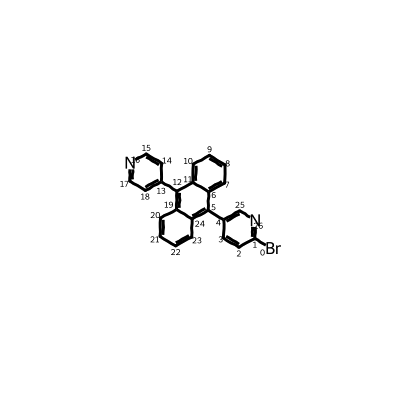 Brc1ccc(-c2c3ccccc3c(-c3ccncc3)c3ccccc23)cn1